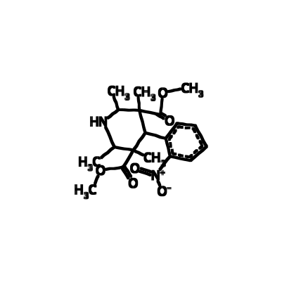 COC(=O)C1(C)C(C)NC(C)C(C)(C(=O)OC)C1c1ccccc1[N+](=O)[O-]